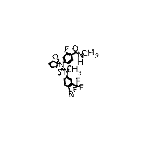 CNC(=O)c1ccc(N(C(=S)N(C)c2ccc(C#N)c(C(F)(F)F)c2)C2(C=O)CCCC2)cc1F